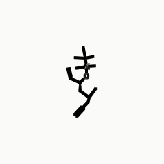 C#CCC(C)C[C@@H](C=C)O[Si](C)(C)C(C)(C)C